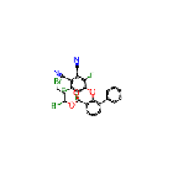 N#Cc1c(F)c(F)c(Oc2c(C(=O)OC(Br)CCBr)cccc2-c2ccccc2)c(F)c1C#N